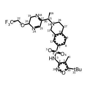 Cc1c(NS(=O)(=O)c2ccc3c(c2)CN([C@H](C)C2=NCC(OCC(F)(F)F)N=C2)CC3)noc1C(C)(C)C